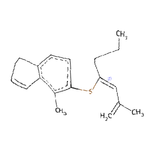 C=C(C)/C=C(/CCC)Sc1ccc2c(c1C)C=CC2